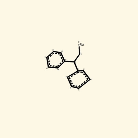 CC(C)(C)C[C](c1ccccc1)c1ccccc1